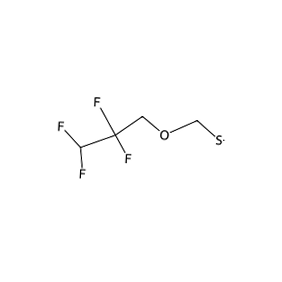 FC(F)C(F)(F)COC[S]